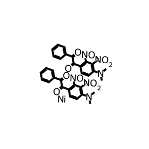 CN(C)c1ccc(C(=O)C(=O)c2ccccc2)c([N+](=O)[O-])c1[N+](=O)[O-].CN(C)c1ccc(C(=O)C(=O)c2ccccc2)c([N+](=O)[O-])c1[N+](=O)[O-].[Ni]